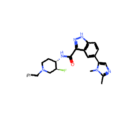 Cc1ncc(-c2ccc3[nH]nc(C(=O)N[C@H]4CCN(CC(C)C)C[C@@H]4F)c3c2)n1C